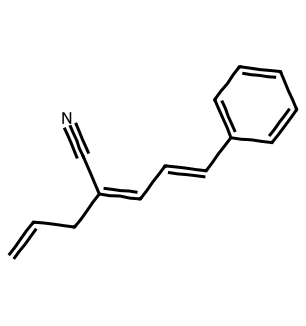 C=CCC(C#N)=CC=Cc1ccccc1